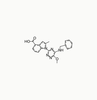 COc1nnc(-n2c(C)cc3c(C(=O)O)cccc32)nc1NCc1ccccc1